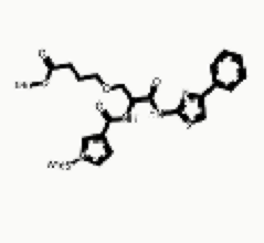 CSn1ccc(C(=O)NC(COCCCC(=O)OC(C)(C)C)C(=O)Nc2nc(-c3ccccc3)cs2)c1